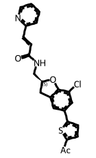 CC(=O)c1ccc(-c2cc(Cl)c3c(c2)C[C@@H](CNC(=O)C=Cc2ccccn2)O3)s1